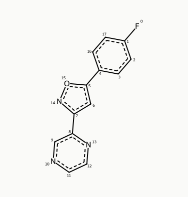 Fc1ccc(-c2cc(-c3cnccn3)no2)cc1